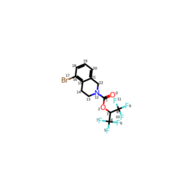 O=C(OC(C(F)(F)F)C(F)(F)F)N1CCc2c(Br)cccc2C1